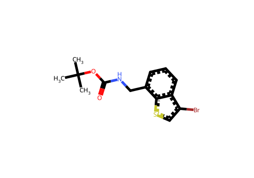 CC(C)(C)OC(=O)NCc1cccc2c(Br)csc12